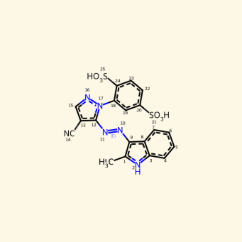 Cc1[nH]c2ccccc2c1/N=N/c1c(C#N)cnn1-c1cc(S(=O)(=O)O)ccc1S(=O)(=O)O